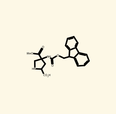 COC(=O)C1(NC(=O)OCC2c3ccccc3-c3ccccc32)CNC(C(=O)O)C1